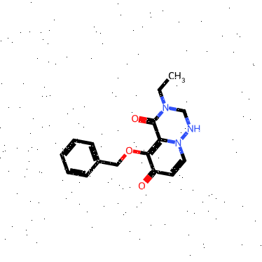 CCN1CNn2ccc(=O)c(OCc3ccccc3)c2C1=O